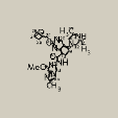 COc1nc(NC(=O)c2ccc(N3C[C@H](C)N[C@@H](C)C3)c3cnc(OCC45CC(CO4)C5)nc23)cn2cc(C)nc12